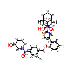 Cc1ccc(OCc2ccc(C(=O)N3CCC[C@H](O)C3)cc2C)c(-c2csc(N3C[C@@H]4CCC[C@@H](C3)C4C(=O)O)n2)c1